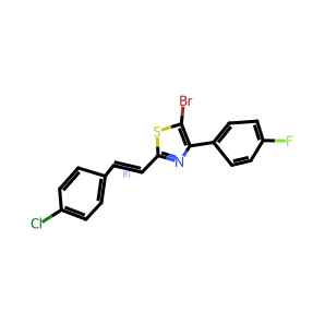 Fc1ccc(-c2nc(/C=C/c3ccc(Cl)cc3)sc2Br)cc1